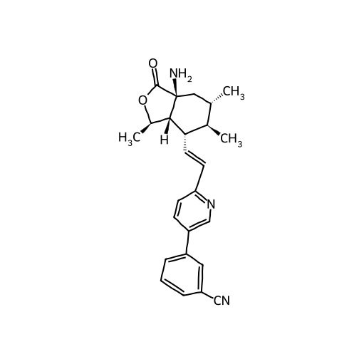 C[C@H]1[C@H](/C=C/c2ccc(-c3cccc(C#N)c3)cn2)[C@@H]2[C@@H](C)OC(=O)[C@]2(N)C[C@@H]1C